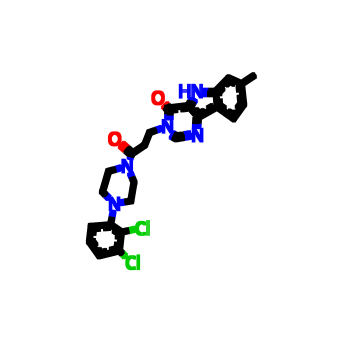 Cc1ccc2c(c1)[nH]c1c(=O)n(CCC(=O)N3CCN(c4cccc(Cl)c4Cl)CC3)cnc12